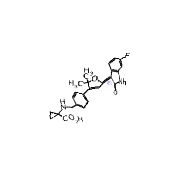 CC1(C)O/C(=C2/C(=O)Nc3cc(F)ccc32)C=C1c1ccc(CNC2(C(=O)O)CC2)cc1